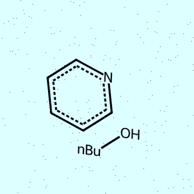 CCCCO.c1ccncc1